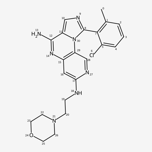 Cc1cccc(Cl)c1-c1ncc2c(N)nc3cc(NCCN4CCOCC4)ncc3n12